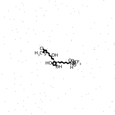 Cc1sc(CCC(O)C=C[C@@H]2[C@@H](CC=CCCCC(=O)NS(=O)(=O)C(F)(F)F)[C@@H](O)C[C@H]2O)cc1Cl